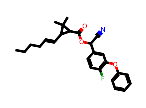 CCCCC=CC1C(C(=O)OC(C#N)c2ccc(F)c(Oc3ccccc3)c2)C1(C)C